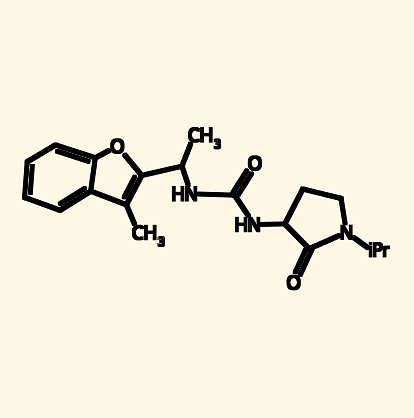 Cc1c(C(C)NC(=O)NC2CCN(C(C)C)C2=O)oc2ccccc12